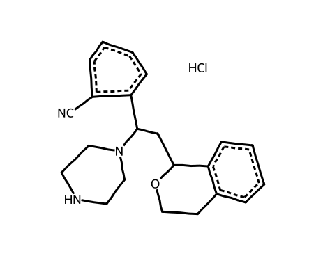 Cl.N#Cc1ccccc1C(CC1OCCc2ccccc21)N1CCNCC1